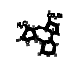 CCOC(=O)c1ccn2c1Cc1c(C)nnn1-c1ccccc1-2